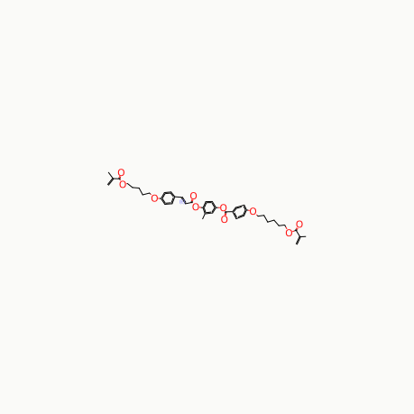 C=C(C)C(=O)OCCCCCCOc1ccc(C(=O)Oc2ccc(OC(=O)/C=C/c3ccc(OCCCCCOC(=O)C(=C)C)cc3)c(C)c2)cc1